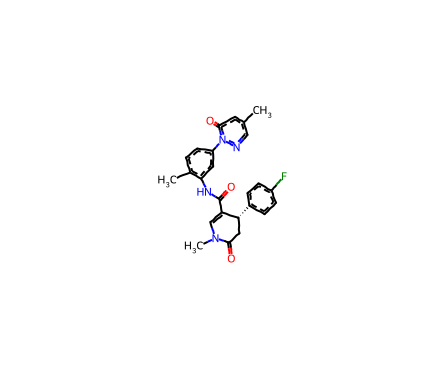 Cc1cnn(-c2ccc(C)c(NC(=O)C3=CN(C)C(=O)C[C@H]3c3ccc(F)cc3)c2)c(=O)c1